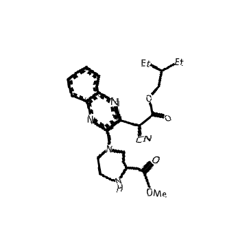 CCC(CC)COC(=O)C(C#N)c1nc2ccccc2nc1N1CCNC(C(=O)OC)C1